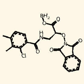 BOC(=O)[C@H](CNC(=O)c1ccc(C)c(C)c1Cl)ON1C(=O)c2ccccc2C1=O